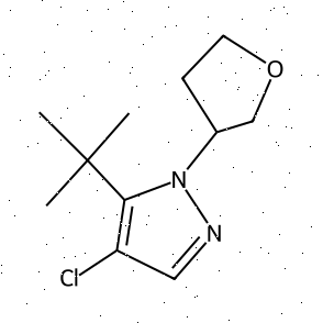 CC(C)(C)c1c(Cl)cnn1C1CCOC1